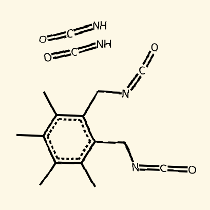 Cc1c(C)c(C)c(CN=C=O)c(CN=C=O)c1C.N=C=O.N=C=O